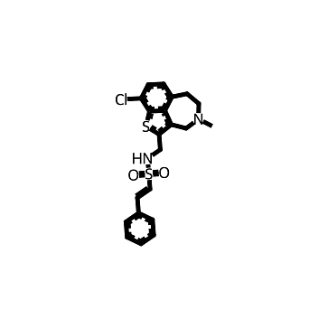 CN1CCc2ccc(Cl)c3sc(CNS(=O)(=O)/C=C/c4ccccc4)c(c23)C1